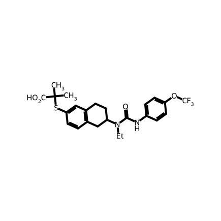 CCN(C(=O)Nc1ccc(OC(F)(F)F)cc1)C1CCc2cc(SC(C)(C)C(=O)O)ccc2C1